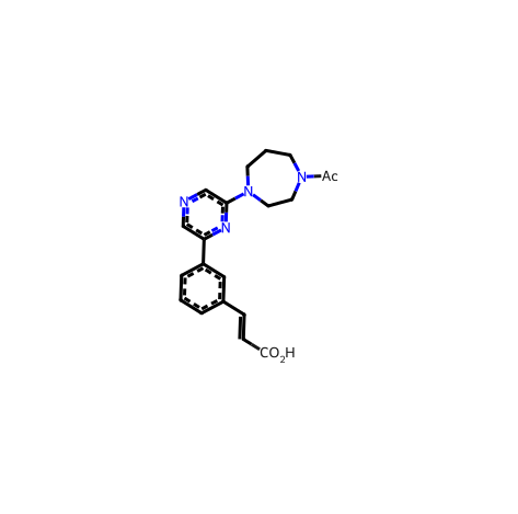 CC(=O)N1CCCN(c2cncc(-c3cccc(C=CC(=O)O)c3)n2)CC1